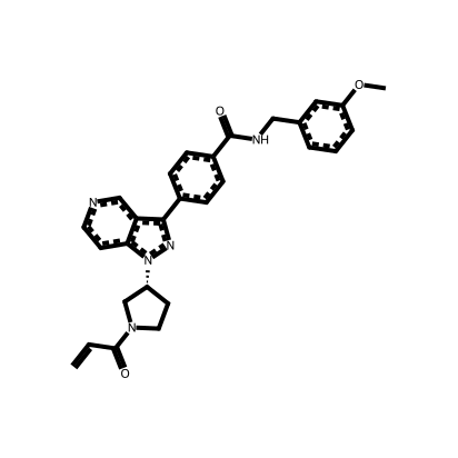 C=CC(=O)N1CC[C@@H](n2nc(-c3ccc(C(=O)NCc4cccc(OC)c4)cc3)c3cnccc32)C1